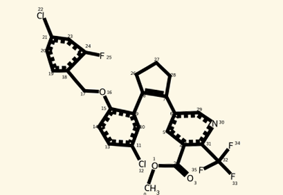 COC(=O)c1cc(C2=C(c3cc(Cl)ccc3OCc3ccc(Cl)cc3F)CCC2)cnc1C(F)(F)F